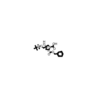 CC(C)(C)[Si](C)(C)OC[C@]1(O)C[C@@H](C(=O)OCc2ccccc2)N(C(=O)O)C1